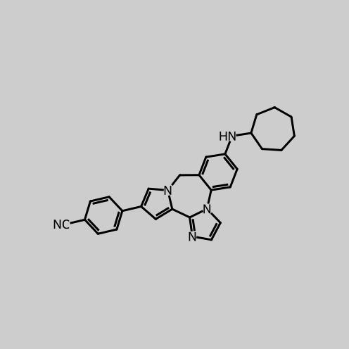 N#Cc1ccc(-c2cc3n(c2)Cc2cc(NC4CCCCCC4)ccc2-n2ccnc2-3)cc1